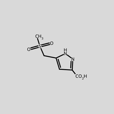 CS(=O)(=O)Cc1cc(C(=O)O)n[nH]1